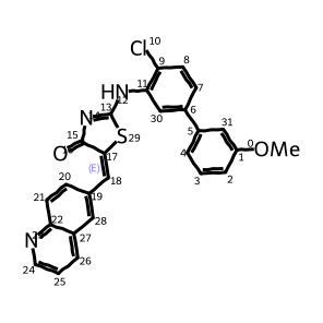 COc1cccc(-c2ccc(Cl)c(NC3=NC(=O)/C(=C\c4ccc5ncccc5c4)S3)c2)c1